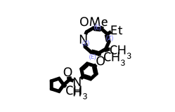 CCC1=C/C(C)(C)/C(Oc2ccc(NC(=O)C3(C)CCCC3)cc2)=C\C=N/C/C=C\1OC